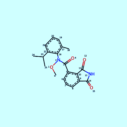 CON(C(=O)c1cccc2c1C(=O)NC2=O)c1c(C)cccc1C(C)C